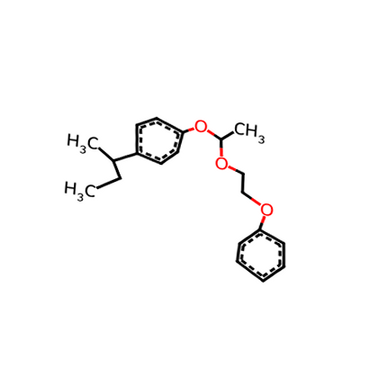 CCC(C)c1ccc(OC(C)OCCOc2ccccc2)cc1